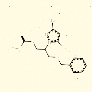 CCOC(=O)c1cc(Br)nn1C(CNC(=O)OC(C)(C)C)COCc1ccccc1